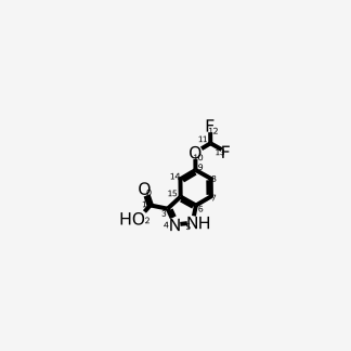 O=C(O)c1n[nH]c2ccc(OC(F)F)cc12